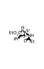 CCOC(=O)NP(=S)(NC(=O)CC)SCC(C)C